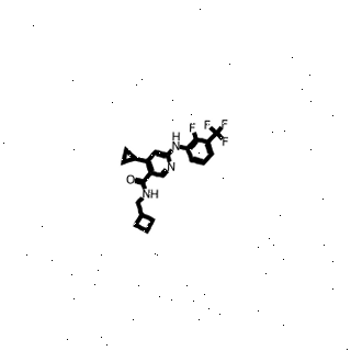 O=C(NCC1CCC1)c1cnc(Nc2cccc(C(F)(F)F)c2F)cc1C1CC1